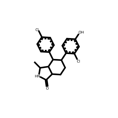 CC1NC(=O)C2CCC(c3ccc(O)cc3Cl)C(c3ccc(Cl)cc3)C12